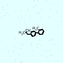 Cc1ccccc1-c1ccc(CC(C)C)cc1